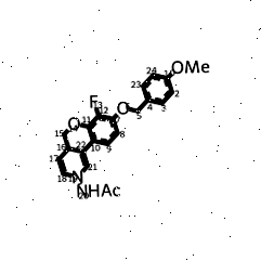 COc1ccc(COc2ccc3c(c2F)OCC2C=CN(NC(C)=O)C=C32)cc1